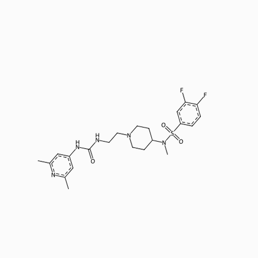 Cc1cc(NC(=O)NCCN2CCC(N(C)S(=O)(=O)c3ccc(F)c(F)c3)CC2)cc(C)n1